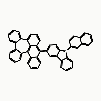 c1ccc2c(c1)-c1ccccc1-c1c3ccccc3c(-c3ccc4c(c3)c3ccccc3n4-c3ccc4ccccc4c3)c3cccc-2c13